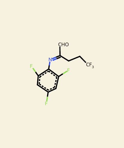 O=C/C(CCC(F)(F)F)=N/c1c(F)cc(F)cc1F